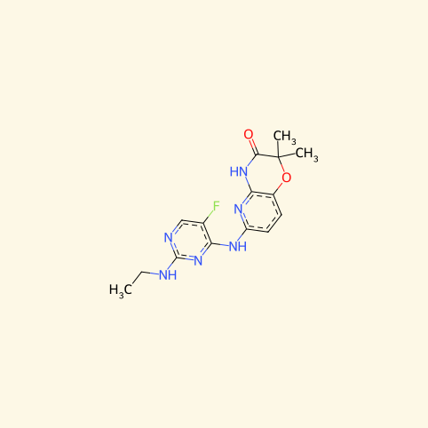 CCNc1ncc(F)c(Nc2ccc3c(n2)NC(=O)C(C)(C)O3)n1